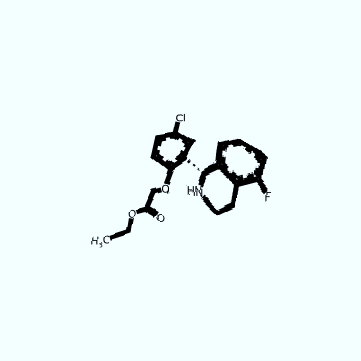 CCOC(=O)COc1ccc(Cl)cc1[C@H]1NCCc2c(F)cccc21